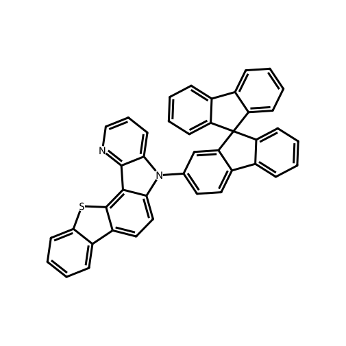 c1ccc2c(c1)-c1ccccc1C21c2ccccc2-c2ccc(-n3c4cccnc4c4c5sc6ccccc6c5ccc43)cc21